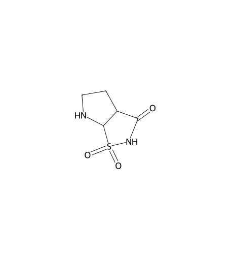 O=C1NS(=O)(=O)C2NCCC12